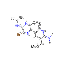 CCC(CC)Nc1nc(OC)c(-c2cc(COC)c(N(C)C)nc2C)nc1Br